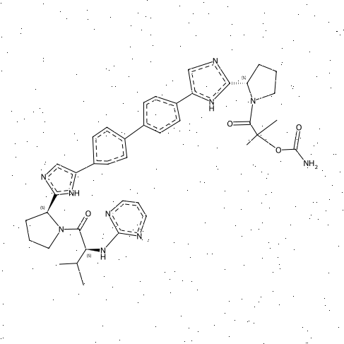 CC(C)[C@H](Nc1ncccn1)C(=O)N1CCC[C@H]1c1ncc(-c2ccc(-c3ccc(-c4cnc([C@@H]5CCCN5C(=O)C(C)(C)OC(N)=O)[nH]4)cc3)cc2)[nH]1